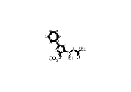 CCC(=O)CN(CC)c1cc(-c2ccccc2)sc1C(=O)O